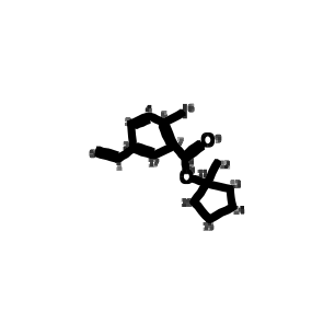 C=Cc1ccc(I)c(C(=O)OC2(C)CCCC2)c1